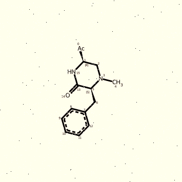 CC(=O)[C@H]1CN(C)[C@@H](Cc2ccccc2)C(=O)N1